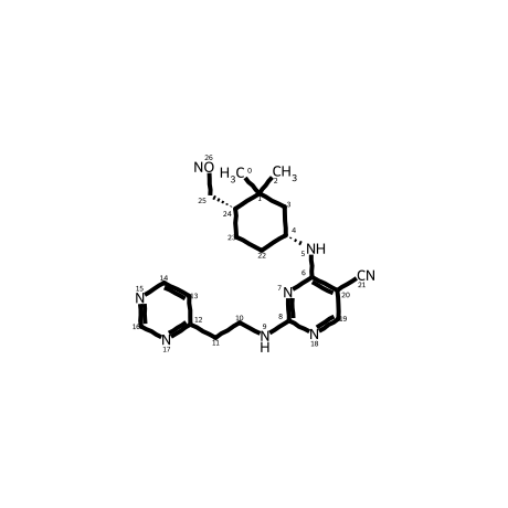 CC1(C)C[C@H](Nc2nc(NCCc3ccncn3)ncc2C#N)CC[C@@H]1CN=O